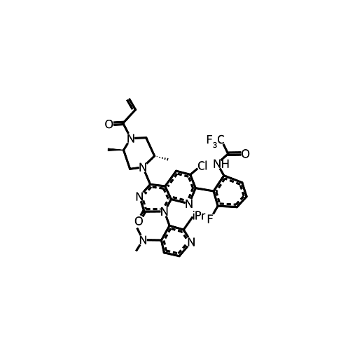 C=CC(=O)N1C[C@H](C)N(c2nc(=O)n(-c3c(N(C)C)ccnc3C(C)C)c3nc(-c4c(F)cccc4NC(=O)C(F)(F)F)c(Cl)cc23)C[C@H]1C